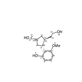 COc1cccc(O)c1[C@@H]1CN(C(=O)O)C[C@H]1CCO